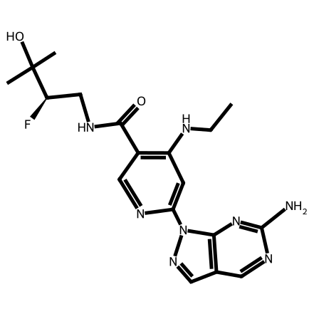 CCNc1cc(-n2ncc3cnc(N)nc32)ncc1C(=O)NC[C@@H](F)C(C)(C)O